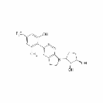 Cc1cc(C(F)(F)F)cc(O)c1-c1cc2c(nn1)N([C@@H]1CC[C@@H](O)[C@H]1O)CC2